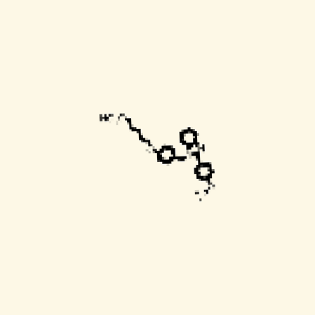 O=C(O)CCCCCOc1ccc(Cn2c(-c3ccc(OC(F)(F)F)cc3)nc3ccccc32)cc1